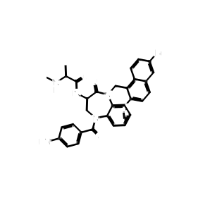 CNC(C)C(=O)NC1CN(C(=O)c2ccc(N)cc2)c2ccccc2N(Cc2c(OC)ccc3cc(Br)ccc23)C1=O